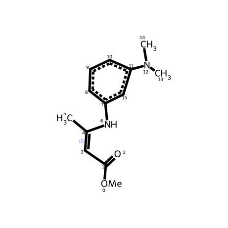 COC(=O)/C=C(/C)Nc1cccc(N(C)C)c1